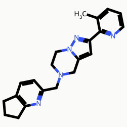 Cc1cccnc1-c1cc2n(n1)CCN(Cc1ccc3c(n1)CCC3)C2